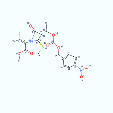 COC(=O)C(=C(C)C)N1C(=O)[C@H](C(C)OC(=O)OCc2ccc([N+](=O)[O-])cc2)[C@H]1SC